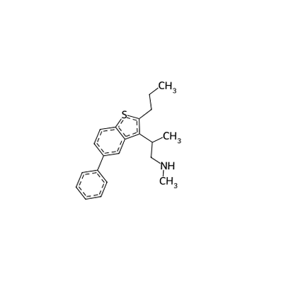 CCCc1sc2ccc(-c3ccccc3)cc2c1C(C)CNC